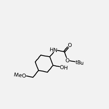 COCC1CCC(NC(=O)OC(C)(C)C)C(O)C1